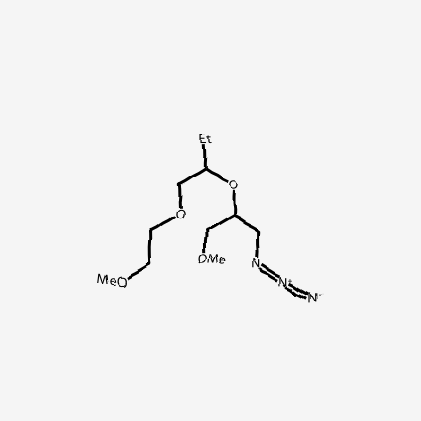 CCC(COCCOC)OC(CN=[N+]=[N-])COC